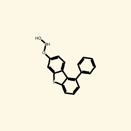 OBOc1ccc2c(c1)sc1cccc(-c3ccccc3)c12